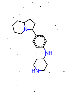 c1cc(C2CCC3CCCCN32)ccc1NC1CCNCC1